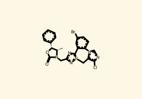 C[C@H]1[C@@H](c2ccccc2)OC(=O)N1Cc1nc2n(n1)Cc1c(Cl)ncn1-c1ccc(Br)cc1-2